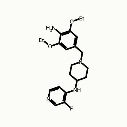 CCOc1cc(CN2CCC(Nc3ccncc3F)CC2)cc(OCC)c1N